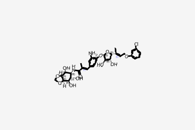 C/C(=C\c1ccc(O[C@@H]2O[C@H](/C(C)=C/COc3cccc(Cl)c3)[C@H](O)[C@H]2O)c(N)c1)C(=O)N[C@@H]1[C@H](O)[C@@H](O)[C@H]2OCO[C@H]2[C@@H]1O